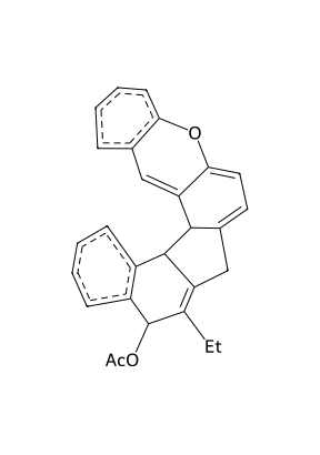 CCC1=C2CC3=CC=C4Oc5ccccc5C=C4C3C2c2ccccc2C1OC(C)=O